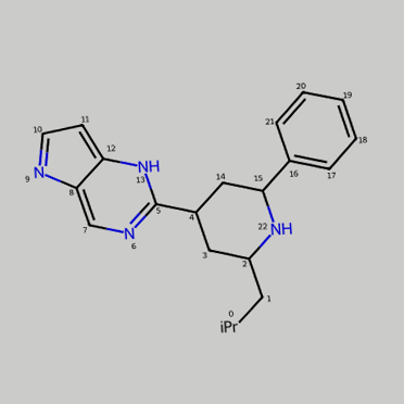 CC(C)CC1CC(c2ncc3nccc-3[nH]2)CC(c2ccccc2)N1